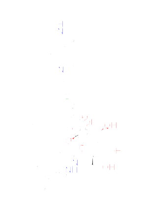 Cc1cc(/C=C/CCN2CCC3(CC2)CNC3)ccc1Cc1c(O[C@]2(OC(=O)C(F)(F)F)O[C@H](CO)[C@@H](O)[C@H](O)[C@H]2O)n[nH]c1C(C)C